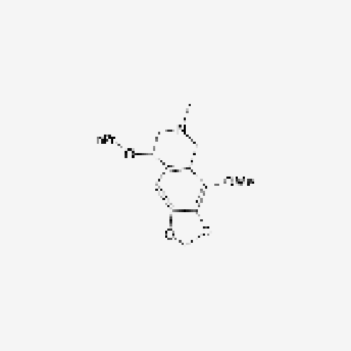 CCCOC1CN(C)Cc2c1cc1c(c2OC)OCO1